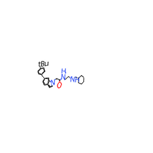 CC(C)(C)c1ccc(-c2ccc3ccn(CC(=O)NCCNCC4CCCCC4)c3c2)cc1